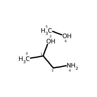 CC(O)CN.CO